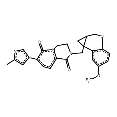 Cc1cn(-c2ccc3n(c2=O)CCN(CC24CC2COc2ccc(OC(F)(F)F)cc24)C3=O)cn1